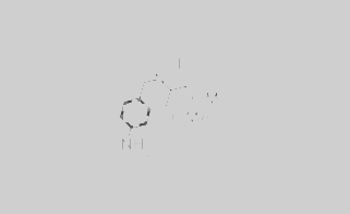 COCC(COC)N(C)Cc1ccc(N)cc1